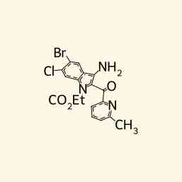 CCOC(=O)n1c(C(=O)c2cccc(C)n2)c(N)c2cc(Br)c(Cl)cc21